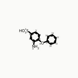 Nc1cc(S(=O)(=O)O)ccc1Oc1ccccc1